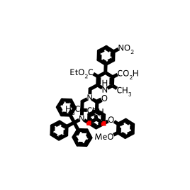 CCOC(=O)C1=C(CN(CC(C)(C)N(CC(O)COc2ccccc2OC)C(c2ccccc2)(c2ccccc2)c2ccccc2)C(=O)c2ccccc2)NC(C)=C(C(=O)O)C1c1cccc([N+](=O)[O-])c1